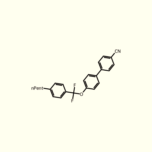 CCCCCc1ccc(C(F)(F)Oc2ccc(-c3ccc(C#N)cc3)cc2)cc1